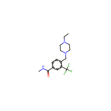 CCN1CCN(Cc2ccc(C(=O)NC)cc2C(F)(F)F)CC1